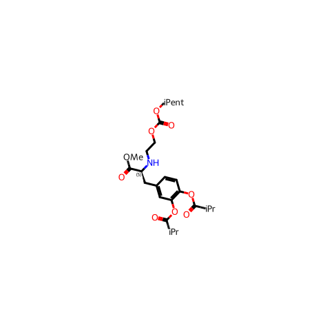 CCCC(C)OC(=O)OCCN[C@@H](Cc1ccc(OC(=O)C(C)C)c(OC(=O)C(C)C)c1)C(=O)OC